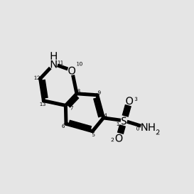 NS(=O)(=O)c1ccc2c(c1)ONC=C2